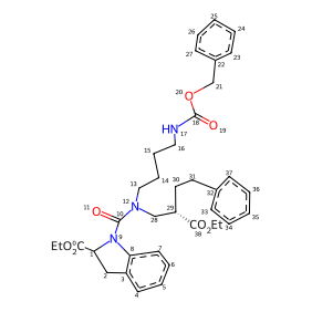 CCOC(=O)C1Cc2ccccc2N1C(=O)N(CCCCNC(=O)OCc1ccccc1)C[C@H](CCc1ccccc1)C(=O)OCC